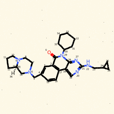 O=c1c2cc(CN3CCN4CCC[C@@H]4C3)ccc2c2cnc(NCC3CC3)nc2n1C1CCCCC1